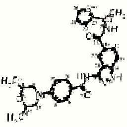 CC1CN(c2ccc(C(=O)Nc3n[nH]c4ccc(C(=O)NC(C)c5cccs5)cc34)cc2)CC(C)O1